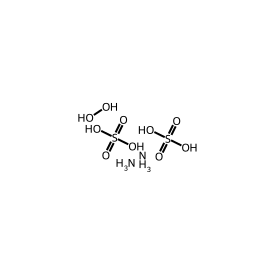 N.N.O=S(=O)(O)O.O=S(=O)(O)O.OO